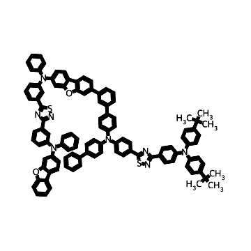 CC(C)(C)c1ccc(N(c2ccc(-c3nsc(-c4ccc(N(c5ccc(-c6ccccc6)cc5)c5ccc(-c6cccc(-c7ccc8c(c7)oc7cc(N(c9ccccc9)c9cccc(-c%10nc(-c%11cccc(N(c%12ccccc%12)c%12ccc%13c(c%12)oc%12ccccc%12%13)c%11)ns%10)c9)ccc78)c6)cc5)cc4)n3)cc2)c2ccc(C(C)(C)C)cc2)cc1